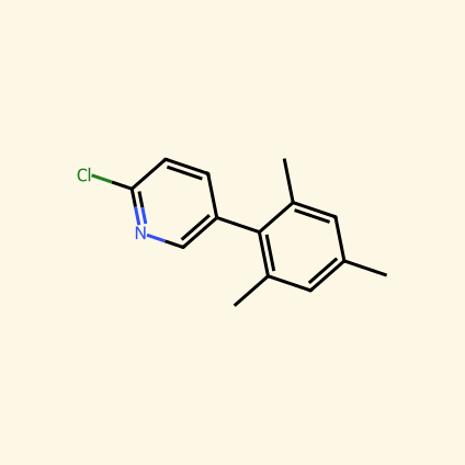 Cc1cc(C)c(-c2ccc(Cl)nc2)c(C)c1